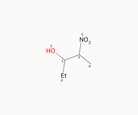 CCC(O)C(C)[N+](=O)[O-]